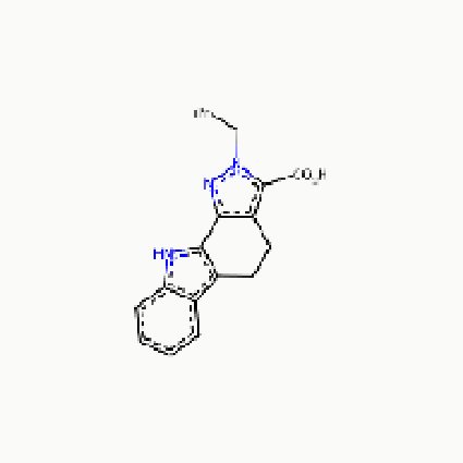 CC(C)Cn1nc2c(c1C(=O)O)CCc1c-2[nH]c2ccccc12